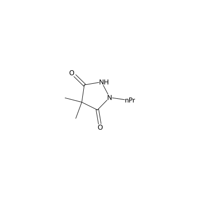 CCCN1NC(=O)C(C)(C)C1=O